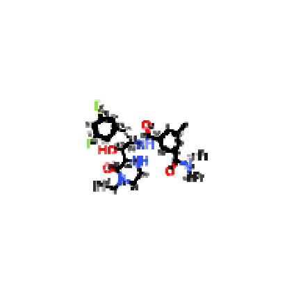 CCCN(CCC)C(=O)c1cc(C)cc(C(=O)N[C@@H](Cc2cc(F)cc(F)c2)[C@H](O)C2NCCN(CC(C)C)C2=O)c1